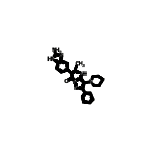 Cc1[nH]c2c(N3CCCCC3)c(-c3ccccc3)nn2c(=O)c1-c1ccc2[nH]c(N)nc2c1